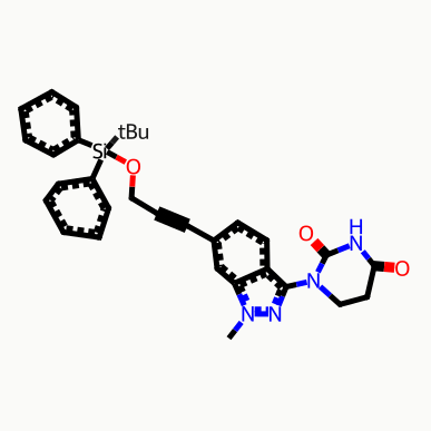 Cn1nc(N2CCC(=O)NC2=O)c2ccc(C#CCO[Si](c3ccccc3)(c3ccccc3)C(C)(C)C)cc21